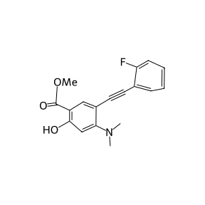 COC(=O)c1cc(C#Cc2ccccc2F)c(N(C)C)cc1O